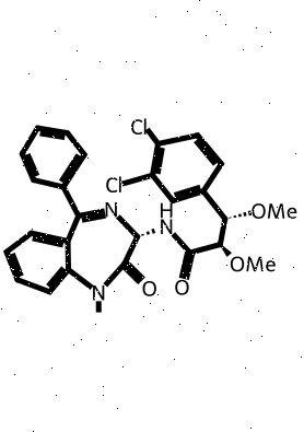 CO[C@@H](C(=O)N[C@H]1N=C(c2ccccc2)c2ccccc2N(C)C1=O)[C@@H](OC)c1ccc(Cl)c(Cl)c1